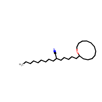 [CH2]CCCCCCCCC(C#N)CCCCC[C]1CCCCCCCCCCCO1